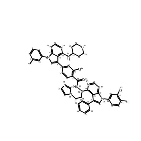 Cc1cccc(-n2cc(-c3ccc(C(=O)NN(CCn4ccnc4)c4ncnc5c4c(-c4ccccc4)cn5-c4ccc(C)c(Cl)c4)c(Cl)c3)c3c(NC4CCOCC4)ncnc32)c1